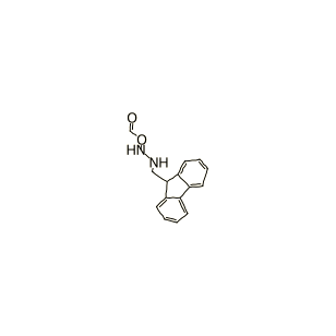 O=CONNCC1c2ccccc2-c2ccccc21